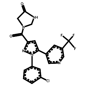 O=C1CN(C(=O)c2cc(-c3cncc(C(F)(F)F)c3)n(-c3cccc(Cl)c3)n2)CN1